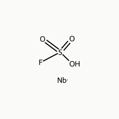 O=S(=O)(O)F.[Nb]